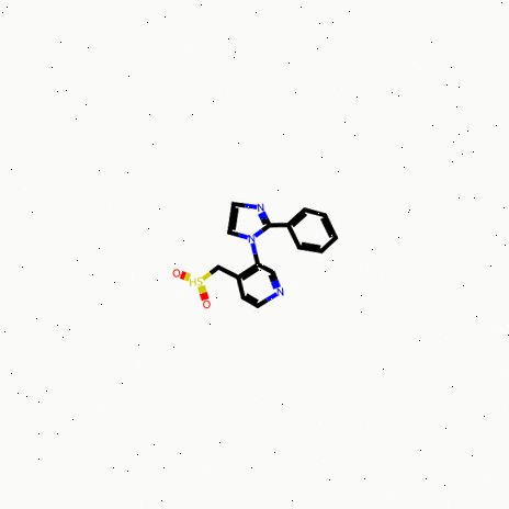 O=[SH](=O)Cc1ccncc1-n1ccnc1-c1ccccc1